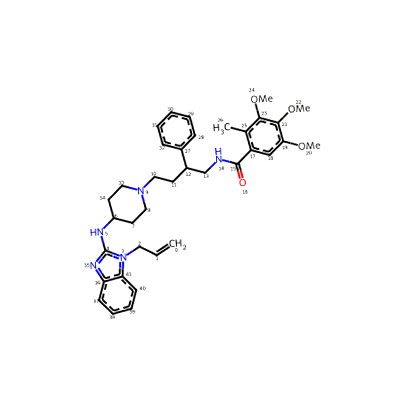 C=CCn1c(NC2CCN(CCC(CNC(=O)c3cc(OC)c(OC)c(OC)c3C)c3ccccc3)CC2)nc2ccccc21